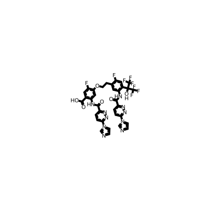 O=C(Nc1cc(OCCc2cc(NC(=O)c3ccc(-n4ccnc4)nn3)c(C(O)(C(F)(F)F)C(F)(F)F)cc2F)c(F)cc1C(=O)O)c1ccc(-n2ccnc2)nn1